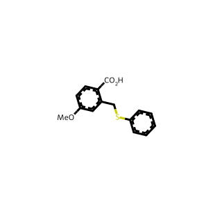 COc1ccc(C(=O)O)c(CSc2ccccc2)c1